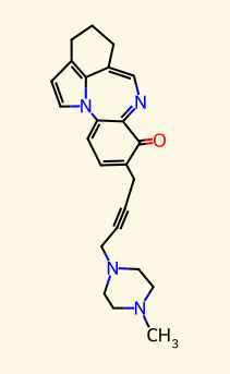 CN1CCN(CC#CCc2ccc3n4ccc5c4c(cnc-3c2=O)CCC5)CC1